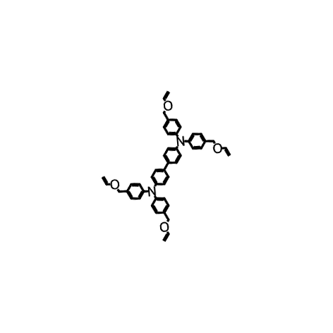 C=COCc1ccc(N(c2ccc(COC=C)cc2)c2ccc(-c3ccc(N(c4ccc(COC=C)cc4)c4ccc(COC=C)cc4)cc3)cc2)cc1